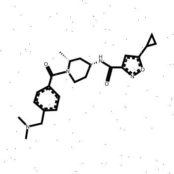 C[C@@H]1C[C@H](NC(=O)c2cc(C3CC3)on2)CCN1C(=O)c1ccc(CN(C)C)cc1